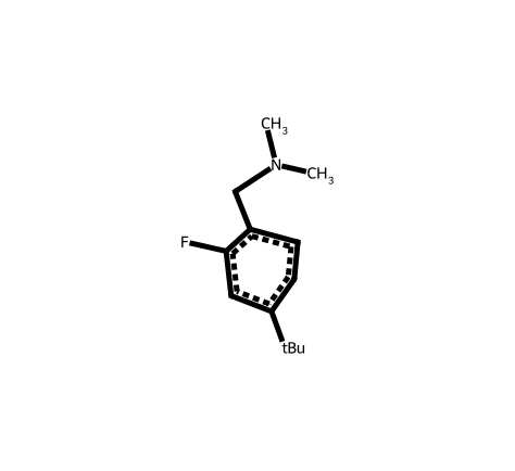 CN(C)Cc1ccc(C(C)(C)C)cc1F